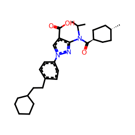 CC(C)N(c1nn(-c2ccc(CCC3CCCCC3)cc2)cc1C(=O)O)C(=O)[C@H]1CC[C@H](C)CC1